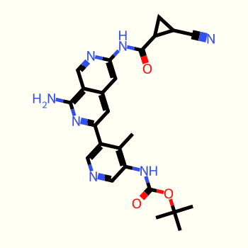 Cc1c(NC(=O)OC(C)(C)C)cncc1-c1cc2cc(NC(=O)C3CC3C#N)ncc2c(N)n1